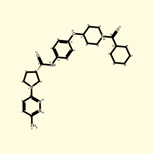 Cc1ccc(N2CC[C@H](C(=O)Nc3ccc(OC4CCN(C(=O)C5CCCCC5)CC4)cc3)C2)nn1